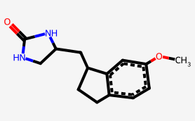 COc1ccc2c(c1)C(CC1CNC(=O)N1)CC2